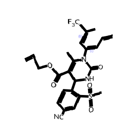 C=C/C=C(\C=C(/C)C(F)(F)F)N1C(=O)NC(c2ccc(C#N)cc2S(C)(=O)=O)C(C(=O)OCC=C)=C1C